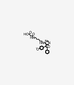 COc1ccc(-c2c(-c3ccccc3)oc3ncnc(NCCCCCNC(=O)CC(=O)O)c23)cc1